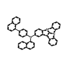 c1ccc2c(-c3ccc(N(c4ccc5c(c4)c4c6ccccc6n6c7ccccc7n5c46)c4cccc5ccccc45)cc3)cccc2c1